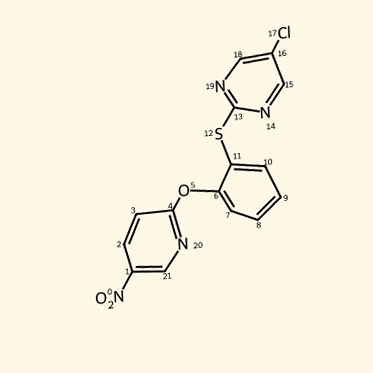 O=[N+]([O-])c1ccc(Oc2ccccc2Sc2ncc(Cl)cn2)nc1